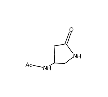 CC(=O)NC1CNC(=O)C1